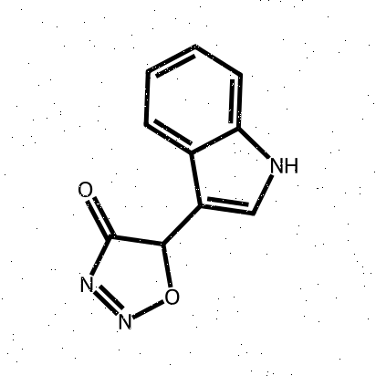 O=C1N=NOC1c1c[nH]c2ccccc12